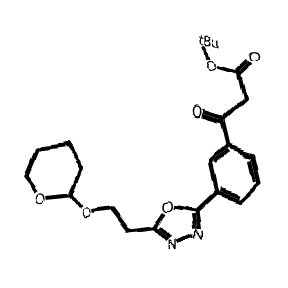 CC(C)(C)OC(=O)CC(=O)c1cccc(-c2nnc(CCOC3CCCCO3)o2)c1